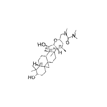 C[C@@H]1CC(CN(C)C(=O)N(C)C)OC2[C@H]1C1(C)CCC34CC35CCC(O)C(C)(C)[C@@H]5CCC4[C@]1(C)[C@H]2O